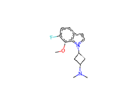 COc1c(F)ccc2ccn(C3CC(N(C)C)C3)c12